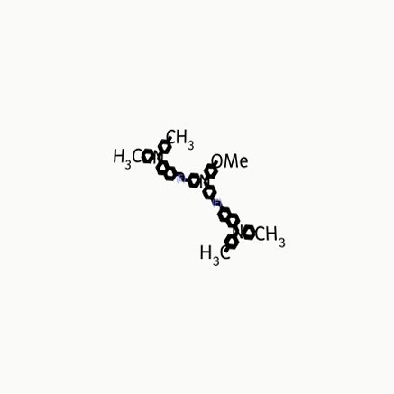 COc1ccc(N(c2ccc(/C=C/c3ccc4cc(N(c5ccc(C)cc5)c5ccc(C)cc5)ccc4c3)cc2)c2ccc(/C=C/c3ccc4ccc(N(c5ccc(C)cc5)c5ccc(C)cc5)cc4c3)cc2)cc1